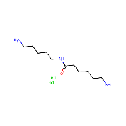 Cl.Cl.NCCCCCNC(=O)CCCCCN